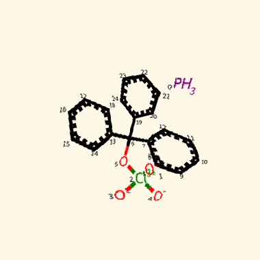 P.[O-][Cl+3]([O-])([O-])OC(c1ccccc1)(c1ccccc1)c1ccccc1